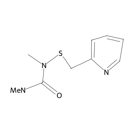 CNC(=O)N(C)SCc1ccccn1